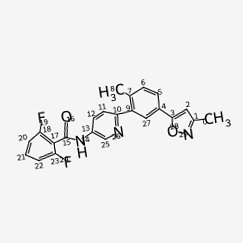 Cc1cc(-c2ccc(C)c(-c3ccc(NC(=O)c4c(F)cccc4F)cn3)c2)on1